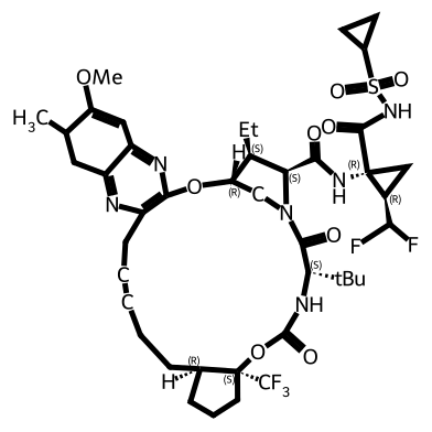 CC[C@@H]1[C@@H]2CN(C(=O)[C@H](C(C)(C)C)NC(=O)O[C@@]3(C(F)(F)F)CCC[C@H]3CCCCCc3nc4c(nc3O2)C=C(OC)C(C)C4)[C@@H]1C(=O)N[C@]1(C(=O)NS(=O)(=O)C2CC2)C[C@H]1C(F)F